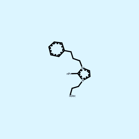 CCCCCCCCCCCCn1cc[n+](CCCc2ccccc2)c1CCC